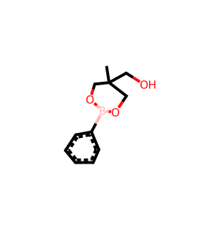 CC1(CO)COB(c2ccccc2)OC1